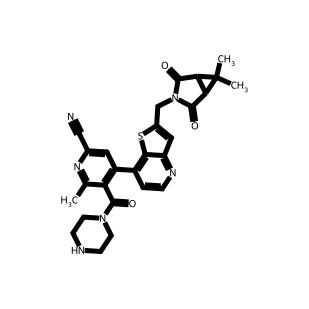 Cc1nc(C#N)cc(-c2ccnc3cc(CN4C(=O)C5C(C4=O)C5(C)C)sc23)c1C(=O)N1CCNCC1